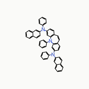 C1=Cc2ccc(N(c3ccccc3)c3ccc4ccccc4c3)cc2N(c2ccccc2)c2cc(N(c3ccccc3)c3ccc4ccccc4c3)ccc21